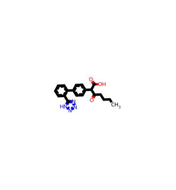 CCCCC(=O)C(C(=O)O)c1ccc(-c2ccccc2-c2nnn[nH]2)cc1